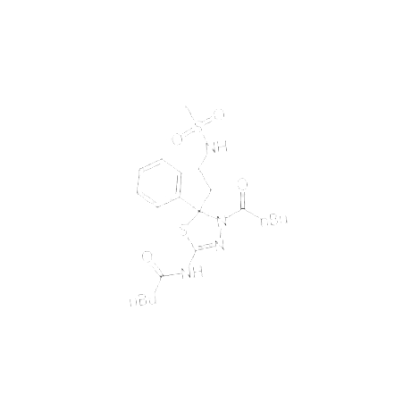 CCCCC(=O)NC1=NN(C(=O)CCCC)C(CCNS(C)(=O)=O)(c2ccccc2)S1